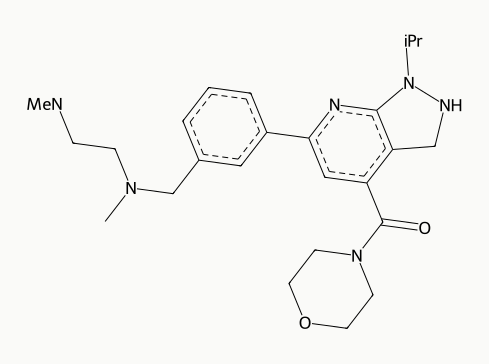 CNCCN(C)Cc1cccc(-c2cc(C(=O)N3CCOCC3)c3c(n2)N(C(C)C)NC3)c1